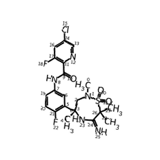 CN1C[C@@](C)(c2cc(NC(=O)c3ncc(Cl)cc3F)ccc2F)NC(=N)C(C)(C)S1(=O)=O